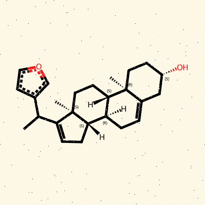 CC(C1=CC[C@H]2[C@@H]3CC=C4C[C@@H](O)CC[C@]4(C)[C@H]3CC[C@]12C)c1ccoc1